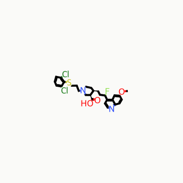 COc1ccc2nccc(C(F)CC[C@@H]3CCN(CCCSc4c(Cl)cccc4Cl)C[C@@H]3C(=O)O)c2c1